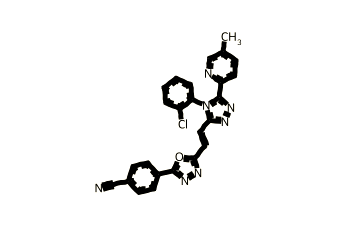 Cc1ccc(-c2nnc(/C=C/c3nnc(-c4ccc(C#N)cc4)o3)n2-c2ccccc2Cl)nc1